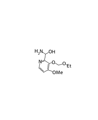 CCOCOc1c(OC)ccnc1C(N)O